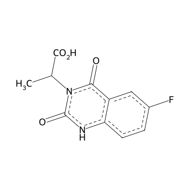 CC(C(=O)O)n1c(=O)[nH]c2ccc(F)cc2c1=O